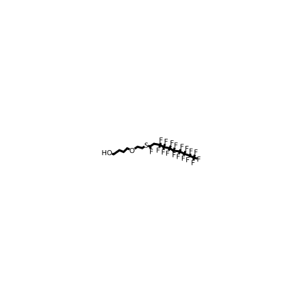 OCCCCOCCSC(F)CC(F)(F)C(F)(F)C(F)(F)C(F)(F)C(F)(F)C(F)(F)C(F)(F)C(F)(F)F